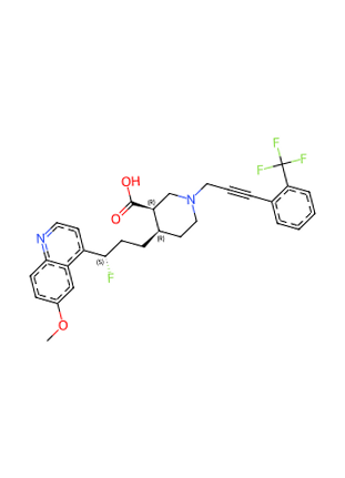 COc1ccc2nccc([C@@H](F)CC[C@@H]3CCN(CC#Cc4ccccc4C(F)(F)F)C[C@@H]3C(=O)O)c2c1